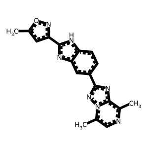 Cc1cc(-c2nc3cc(-c4nc5c(C)ncc(C)n5n4)ccc3[nH]2)no1